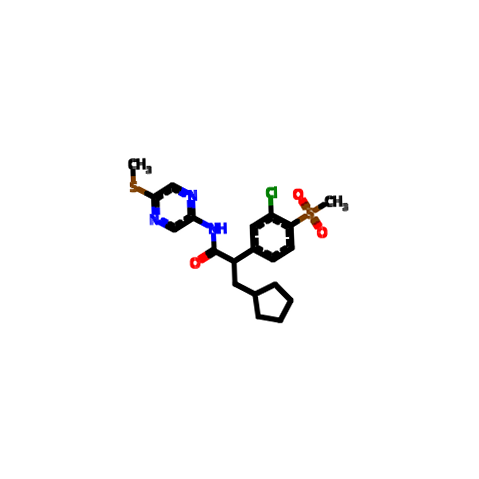 CSc1cnc(NC(=O)C(CC2CCCC2)c2ccc(S(C)(=O)=O)c(Cl)c2)cn1